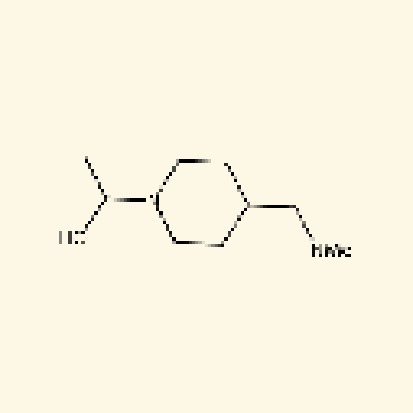 CNCC1CCN(C(C)O)CC1